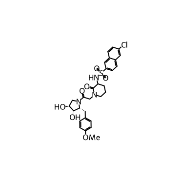 COc1ccc(C[C@@H]2[C@H](O)[C@@H](O)CN2C(=O)CN2CCCC(NS(=O)(=O)c3ccc4cc(Cl)ccc4c3)C2=O)cc1